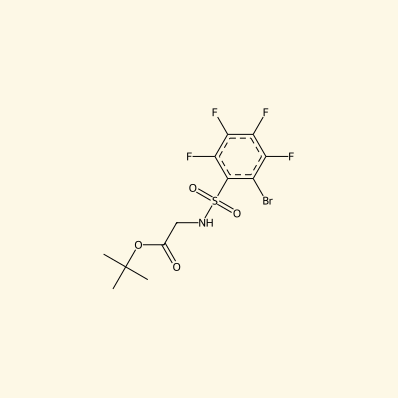 CC(C)(C)OC(=O)CNS(=O)(=O)c1c(F)c(F)c(F)c(F)c1Br